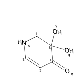 O=C1C=CNCC1(O)O